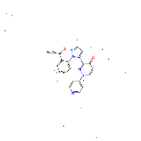 COC(=O)c1ccccc1-n1nccc1-c1nn(-c2ccncc2)ccc1=O